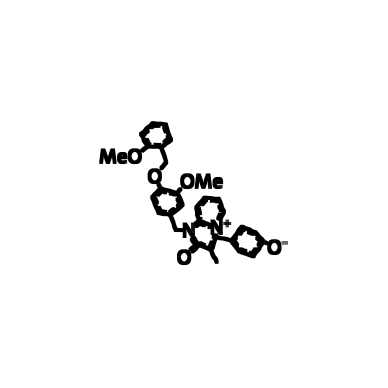 COc1ccccc1COc1ccc(Cn2c(=O)c(C)c(-c3ccc([O-])cc3)[n+]3ccccc23)cc1OC